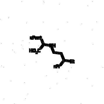 CCCCCC(NCCC(CC)CCC)C(=O)O